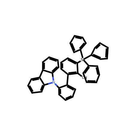 N#Cc1c(-c2ccccc2-n2c3ccccc3c3ccccc32)cccc1[Si](c1ccccc1)(c1ccccc1)c1ccccc1